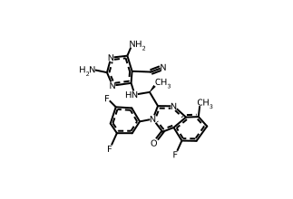 Cc1ccc(F)c2c(=O)n(-c3cc(F)cc(F)c3)c([C@H](C)Nc3nc(N)nc(N)c3C#N)nc12